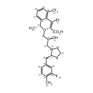 CC/C(=C\C(=O)O)c1c([C@@H](C)OC[C@@H](O)CN2CCC[C@H]2Cc2ccc(C)c(F)c2)cccc1C(F)(F)F